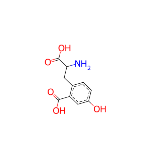 NC(Cc1ccc(O)cc1C(=O)O)C(=O)O